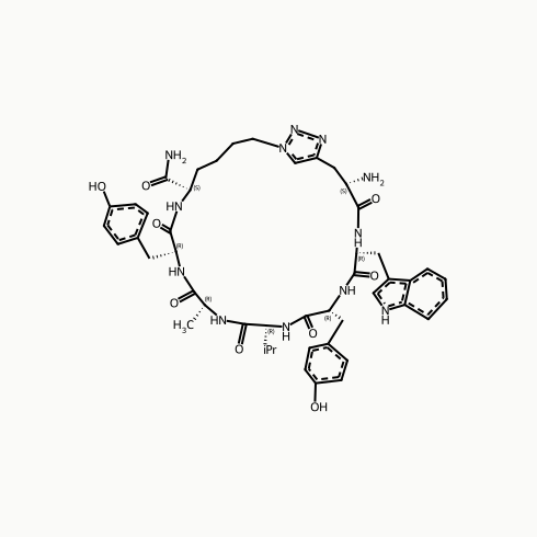 CC(C)[C@H]1NC(=O)[C@@H](Cc2ccc(O)cc2)NC(=O)[C@@H](Cc2c[nH]c3ccccc23)NC(=O)[C@@H](N)Cc2cn(nn2)CCCC[C@@H](C(N)=O)NC(=O)[C@@H](Cc2ccc(O)cc2)NC(=O)[C@@H](C)NC1=O